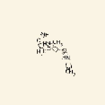 Cc1ccc(OC2CNC2)cc1C(=O)N[C@H](C)c1cccc(-c2ccc(CNCC3CCN(C)CC3)s2)c1